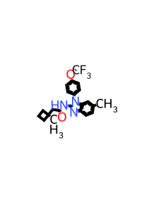 Cc1ccc2nc(NC(=O)CC3(C)CCC3)n(-c3ccc(OC(F)(F)F)cc3)c2c1